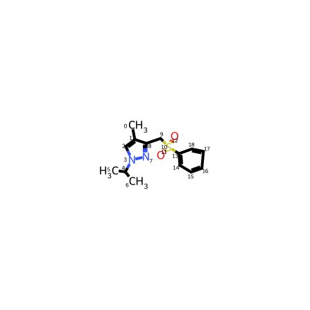 Cc1cn(C(C)C)nc1CS(=O)(=O)c1ccccc1